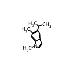 Cc1cc2c(ccn2C)cc1C(C)C